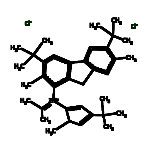 C[C](C)=[Zr+2]([C]1=CC(C(C)(C)C)=CC1C)[c]1c(C)c(C(C)(C)C)cc2c1Cc1cc(C)c(C(C)(C)C)cc1-2.[Cl-].[Cl-]